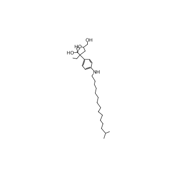 CCC(CC(O)CO)(C(=O)O)c1ccc(NCCCCCCCCCCCCCC(C)C)cc1